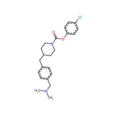 CN(C)Cc1ccc(CC2CCN(C(=O)Oc3ccc(Cl)cc3)CC2)cc1